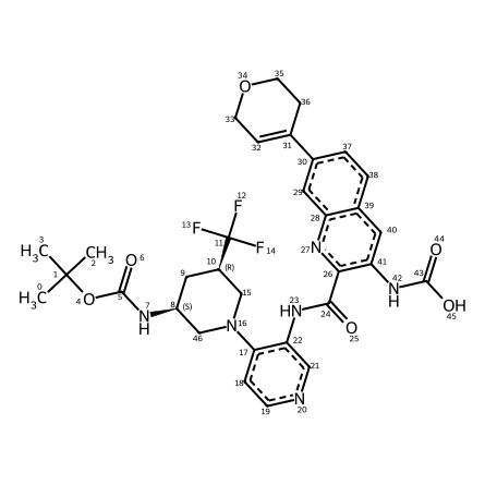 CC(C)(C)OC(=O)N[C@H]1C[C@@H](C(F)(F)F)CN(c2ccncc2NC(=O)c2nc3cc(C4=CCOCC4)ccc3cc2NC(=O)O)C1